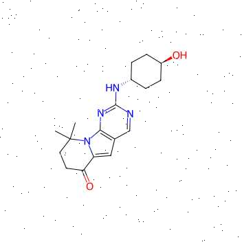 CC1(C)CCC(=O)c2cc3cnc(N[C@H]4CC[C@H](O)CC4)nc3n21